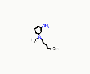 CCCCCCCCCCCCN(C)c1cccc(N)c1